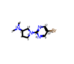 CN(C)C1CCN(c2ncc(Br)cn2)C1